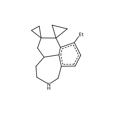 CCc1ccc2c3c1C1(CC1)C1(CC1)CC3CCNC2